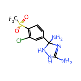 NC1=NC(N)(c2ccc(S(=O)(=O)C(F)(F)F)c(Cl)c2)NN1